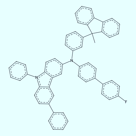 CC1(c2cccc(N(c3ccc(-c4ccc(F)cc4)cc3)c3ccc4c(c3)c3cc(-c5ccccc5)ccc3n4-c3ccccc3)c2)c2ccccc2-c2ccccc21